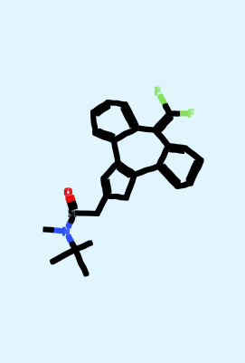 CN([Si](=O)CC1=CC2=C(C1)c1ccccc1C(=C(F)F)c1ccccc12)C(C)(C)C